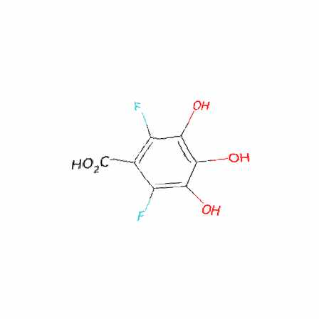 O=C(O)c1c(F)c(O)c(O)c(O)c1F